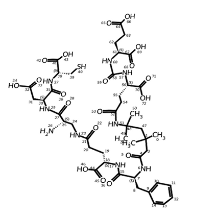 CC(C)(CC(=O)N[C@@H](Cc1ccccc1)C(=O)N[C@@H](CCC(=O)NC[C@H](N)C(=O)N[C@@H](CC(=O)O)C(=O)N[C@@H](CS)C(=O)O)C(=O)O)CC(C)(C)NC(=O)CC[C@H](NC(=O)N[C@@H](CCC(=O)O)C(=O)O)C(=O)O